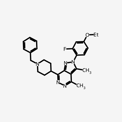 CCOc1ccc(-n2nc3c(C4CCN(Cc5ccccc5)CC4)nnc(C)c3c2C)c(F)c1